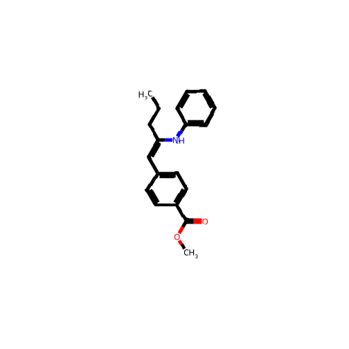 CCCC(=Cc1ccc(C(=O)OC)cc1)Nc1ccccc1